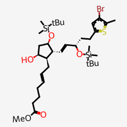 COC(=O)CCCC=CC[C@@H]1[C@@H](C=C[C@H](CCc2cc(Br)c(C)s2)O[Si](C)(C)C(C)(C)C)[C@H](O[Si](C)(C)C(C)(C)C)C[C@@H]1O